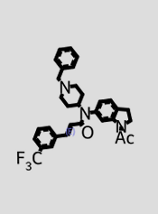 CC(=O)N1CCc2ccc(N(C(=O)/C=C/c3cccc(C(F)(F)F)c3)C3CCN(Cc4ccccc4)CC3)cc21